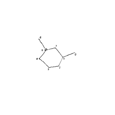 CC1CCCP(C)C1